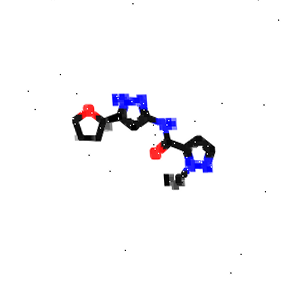 Cn1nccc1C(=O)Nc1cc([C@H]2C[CH]CO2)[nH]n1